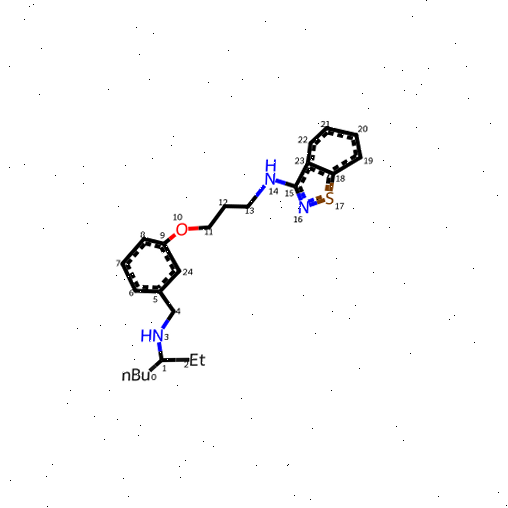 CCCCC(CC)NCc1cccc(OCCCNc2nsc3ccccc23)c1